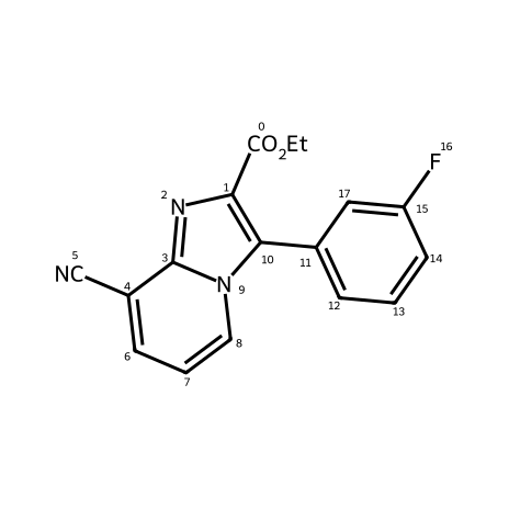 CCOC(=O)c1nc2c(C#N)cccn2c1-c1cccc(F)c1